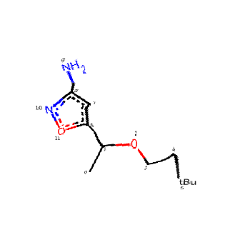 CC(OCCC(C)(C)C)c1cc(N)no1